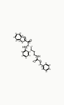 O=C(NCCCC[C@H](Nc1ccccc1)C(=O)c1nc2ccccc2s1)OCc1ccccc1